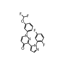 O=c1ccn(-c2cccc(OC(F)F)c2)nc1-c1ccnn1-c1cc(F)ccc1F